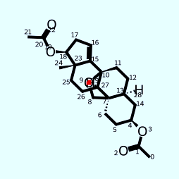 CC(=O)O[C@H]1CC[C@@]23CO[C@]4(CC[C@H]2C1)C1=CC[C@H](OC(C)=O)[C@@]1(C)CC[C@H]34